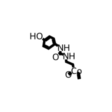 C=[CH][Co](=[O])[CH2]CNC(=O)Nc1ccc(O)cc1